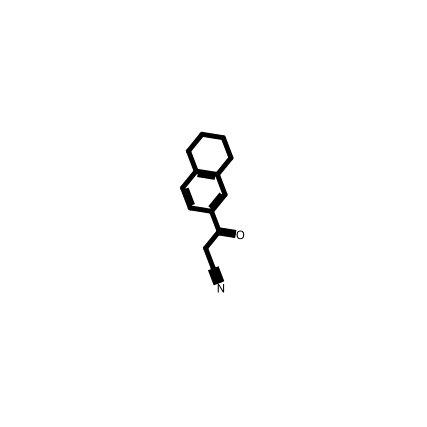 N#CCC(=O)c1ccc2c(c1)CCCC2